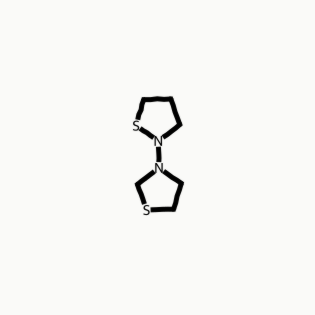 C1CSN(N2CCSC2)C1